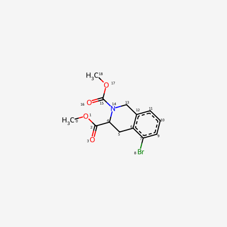 COC(=O)C1Cc2c(Br)cccc2CN1C(=O)OC